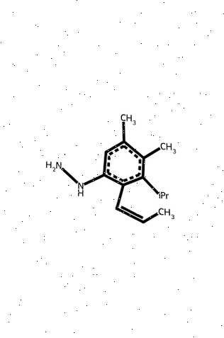 C/C=C\c1c(NN)cc(C)c(C)c1C(C)C